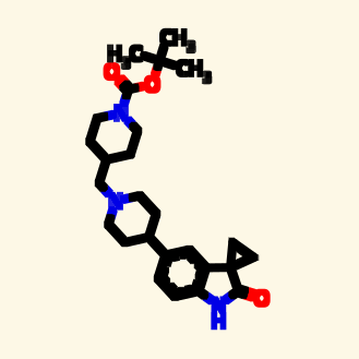 CC(C)(C)OC(=O)N1CCC(CN2CCC(c3ccc4c(c3)C3(CC3)C(=O)N4)CC2)CC1